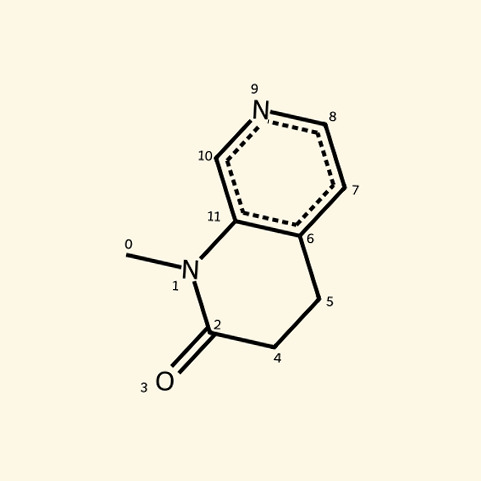 CN1C(=O)CCc2ccncc21